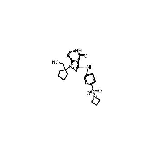 N#CCC1(n2nc(Nc3ccc(S(=O)(=O)N4CCC4)cc3)c3c(=O)[nH]ccc32)CCCC1